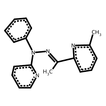 C/C(=N\N(c1ccccc1)c1ccccn1)c1cccc(C)n1